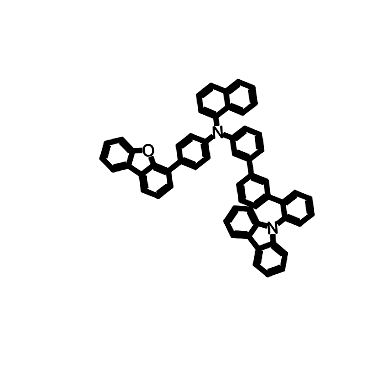 c1cc(-c2cccc(N(c3ccc(-c4cccc5c4oc4ccccc45)cc3)c3cccc4ccccc34)c2)cc(-c2ccccc2-n2c3ccccc3c3ccccc32)c1